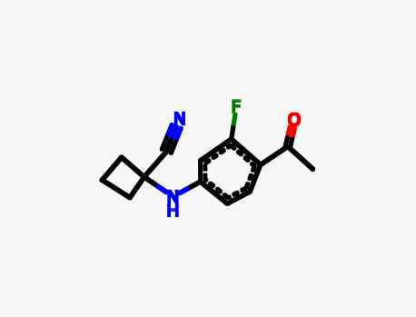 CC(=O)c1ccc(NC2(C#N)CCC2)cc1F